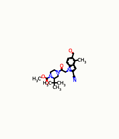 COC(=O)N1CCN(C(=O)Cn2c(C#N)cc3c(C)c(C=O)ccc32)CC1C(C)(C)C